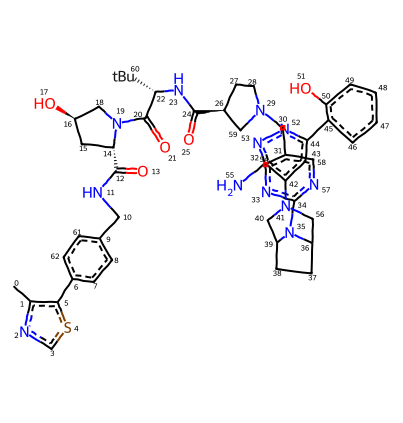 Cc1ncsc1-c1ccc(CNC(=O)[C@@H]2C[C@@H](O)CN2C(=O)[C@@H](NC(=O)[C@H]2CCN(Cc3cnc(N4C5CCC4CN(c4cc(-c6ccccc6O)nnc4N)C5)nc3)C2)C(C)(C)C)cc1